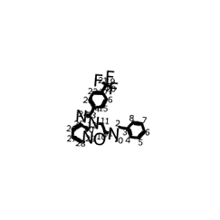 CN(Cc1ccccc1)C(=O)Cn1c(-c2ccc(C(F)(F)F)cc2)nc2cccnc21